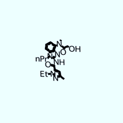 CCCn1c(NC(=O)c2cc(C)nn2CC)nc2c(N(C)C(=O)CO)cccc21